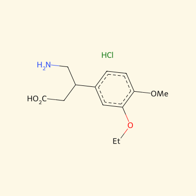 CCOc1cc(C(CN)CC(=O)O)ccc1OC.Cl